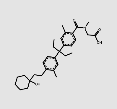 CCC(CC)(c1ccc(CCC2(O)CCCCC2)c(C)c1)c1ccc(C(=O)N(C)CC(=O)O)c(C)c1